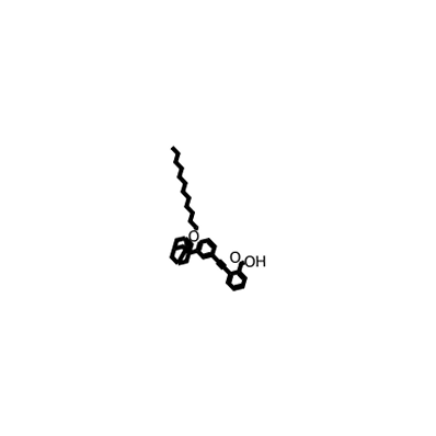 CCCCCCCCCCCCOc1ccc(C#Cc2ccccc2C(=O)O)cc1C12CC3CC(CC(C3)C1)C2